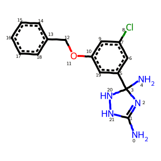 NC1=NC(N)(c2cc(Cl)cc(OCc3ccccc3)c2)NN1